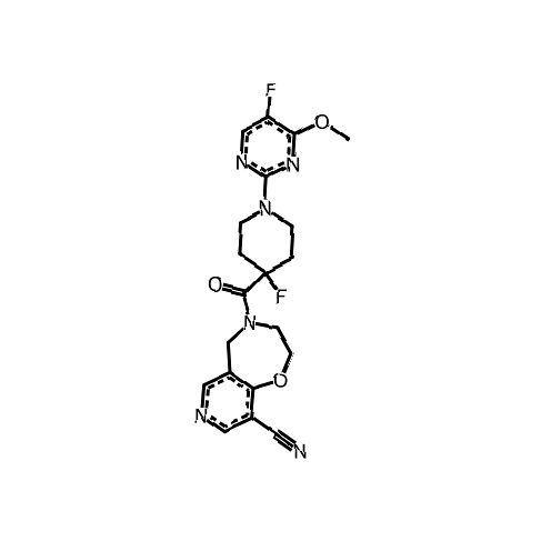 COc1nc(N2CCC(F)(C(=O)N3CCOc4c(C#N)cncc4C3)CC2)ncc1F